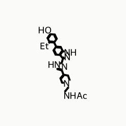 CCc1cc(O)ccc1-c1ccc2c(-c3nc(C4=CCN(CCNC(C)=O)CC4)c[nH]3)n[nH]c2c1